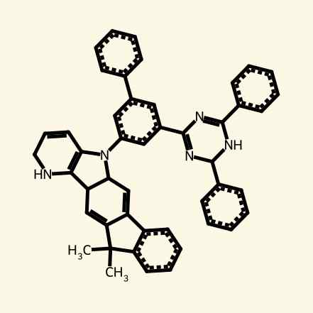 CC1(C)C2=CC3C4=C(C=CCN4)N(c4cc(C5=NC(c6ccccc6)NC(c6ccccc6)=N5)cc(-c5ccccc5)c4)C3C=C2c2ccccc21